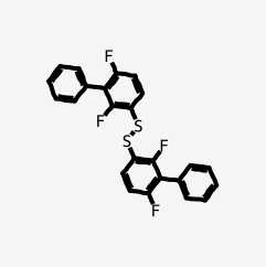 Fc1ccc(SSc2ccc(F)c(-c3ccccc3)c2F)c(F)c1-c1ccccc1